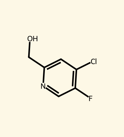 OCc1cc(Cl)c(F)cn1